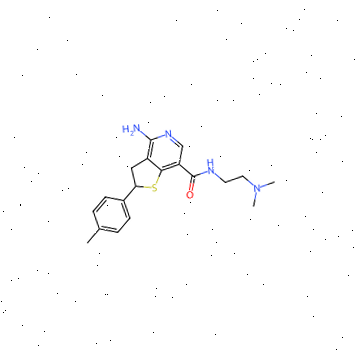 Cc1ccc(C2Cc3c(N)ncc(C(=O)NCCN(C)C)c3S2)cc1